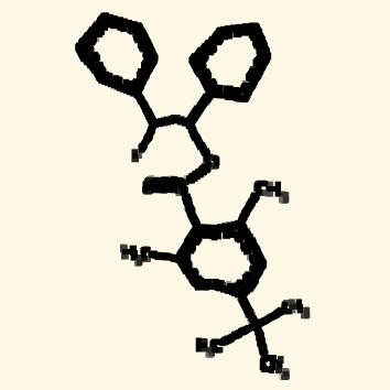 Cc1cc(C(C)(C)C)cc(C)c1S(=O)OC(c1ccccc1)C(F)c1ccccc1